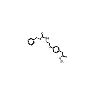 CC(C)(C)OC(=O)Cc1ccc(OCCNC(=O)OCc2ccccc2)cc1